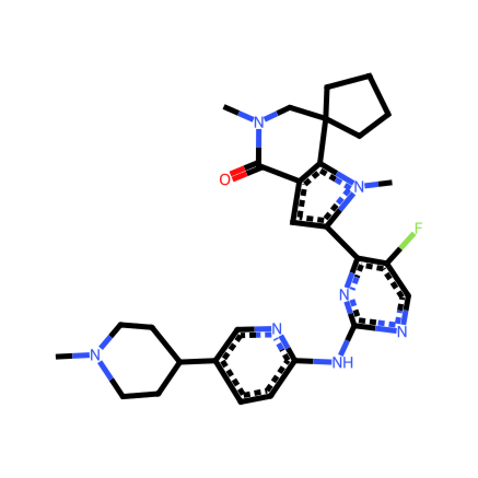 CN1CCC(c2ccc(Nc3ncc(F)c(-c4cc5c(n4C)C4(CCCC4)CN(C)C5=O)n3)nc2)CC1